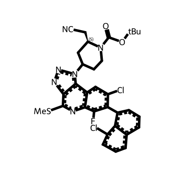 CSc1nc2c(F)c(-c3cccc4cccc(Cl)c34)c(Cl)cc2c2c1nnn2C1CCN(C(=O)OC(C)(C)C)[C@H](CC#N)C1